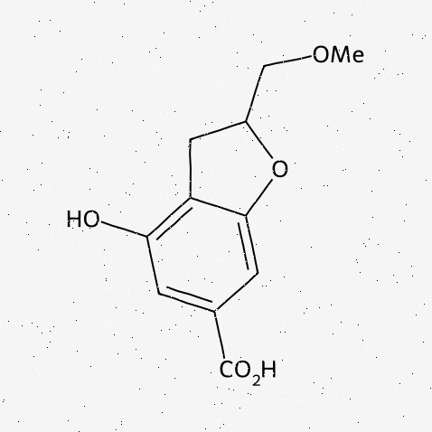 COCC1Cc2c(O)cc(C(=O)O)cc2O1